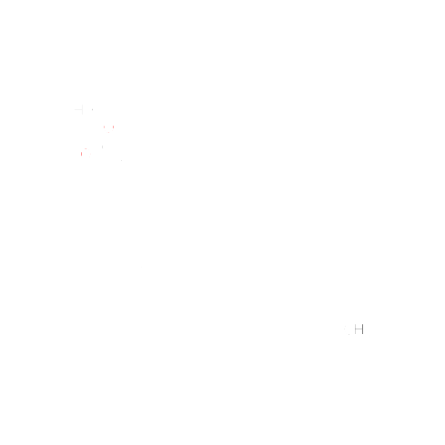 CCCCCC=CCC=CCC/C=C\CCCCCC(=O)OC